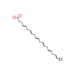 CCC=CCC=CCC=CCC=CCC=CCC=CCCC([O])=O